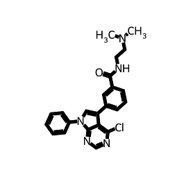 CN(C)CCNC(=O)c1cccc(-c2cn(-c3ccccc3)c3ncnc(Cl)c23)c1